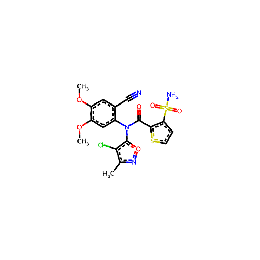 COc1cc(C#N)c(N(C(=O)c2sccc2S(N)(=O)=O)c2onc(C)c2Cl)cc1OC